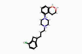 Clc1cccc2c1CC2CCCN1CCN(c2cccc3c2CCOO3)CC1